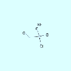 ClCC(Cl)(Cl)Cl.[KH]